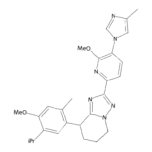 COc1cc(C)c(C2CCCn3nc(-c4ccc(-n5cnc(C)c5)c(OC)n4)nc32)cc1C(C)C